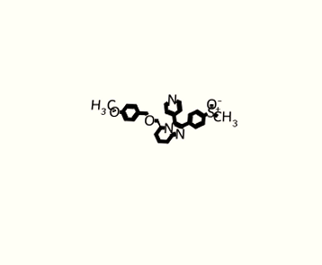 COc1ccc(COC[C@@H]2CCCc3nc(-c4ccc([S+](C)[O-])cc4)c(-c4ccncc4)n32)cc1